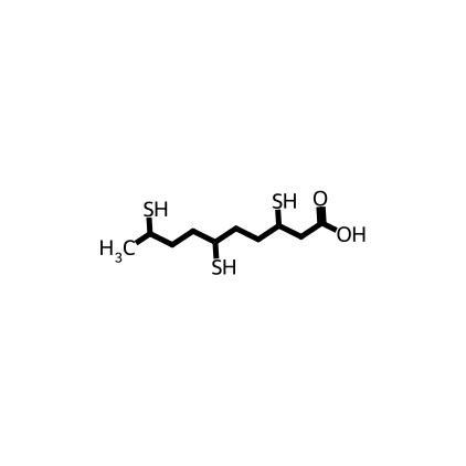 CC(S)CCC(S)CCC(S)CC(=O)O